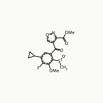 COC(=O)c1nocc1C(=O)c1cc(C2CC2)c(F)c(OC)c1[S+](C)[O-]